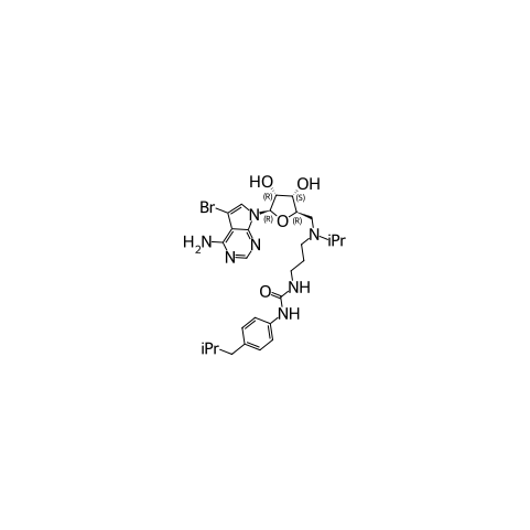 CC(C)Cc1ccc(NC(=O)NCCCN(C[C@H]2O[C@@H](n3cc(Br)c4c(N)ncnc43)[C@H](O)[C@@H]2O)C(C)C)cc1